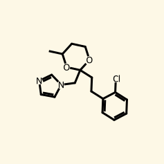 CC1CCOC(CCc2ccccc2Cl)(Cn2ccnc2)O1